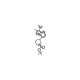 Cc1nn2c(C3CCCN(C(=O)OC(C)(C)C)C3)ccnc2c1N(C)C